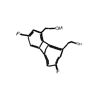 OCc1cc(F)cc2c1-c1c(CO)cc(F)cc1-2